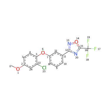 COc1ccc(Oc2[c]ccc(-c3noc(C(F)(F)F)n3)c2)c(Cl)c1